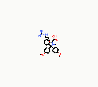 COc1ccc(C(c2ccccc2)(c2ccc(OC)cc2)N(C)[C@@H](CCCNC(=N)N)C(=O)O)cc1